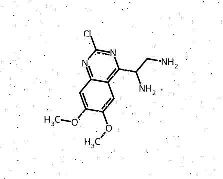 COc1cc2nc(Cl)nc(C(N)CN)c2cc1OC